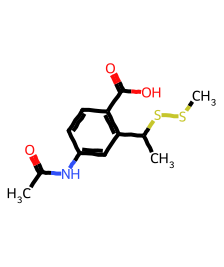 CSSC(C)c1cc(NC(C)=O)ccc1C(=O)O